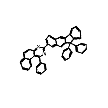 c1ccc(-c2nc(-c3ccc4cc5c(cc4c3)C(c3ccccc3)(c3ccccc3)c3ccccc3-5)nc3ccc4ccccc4c23)cc1